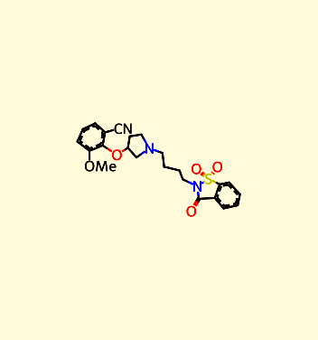 COc1cccc(C#N)c1OC1CCN(CCCCN2C(=O)c3ccccc3S2(=O)=O)C1